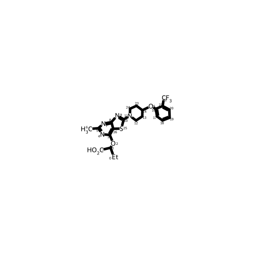 CCC(Oc1nc(C)nc2nc(N3CCC(Oc4ccccc4C(F)(F)F)CC3)sc12)C(=O)O